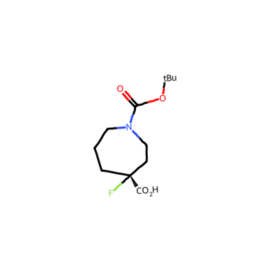 CC(C)(C)OC(=O)N1CCC[C@](F)(C(=O)O)CC1